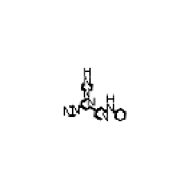 c1cn(-c2cc(-c3ccnc(NC4CCCCC4)c3)nc(N3CCNCC3)c2)cn1